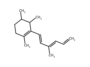 C=CC=C(C)C=CC1=C(C)CCC(C)C1C